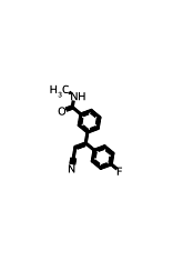 CNC(=O)c1cccc(C(=CC#N)c2ccc(F)cc2)c1